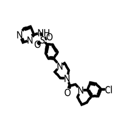 O=C(CN1CCCc2cc(Cl)ccc21)N1CCN(c2ccc(S(=O)(=O)Nc3ccncn3)cc2)CC1